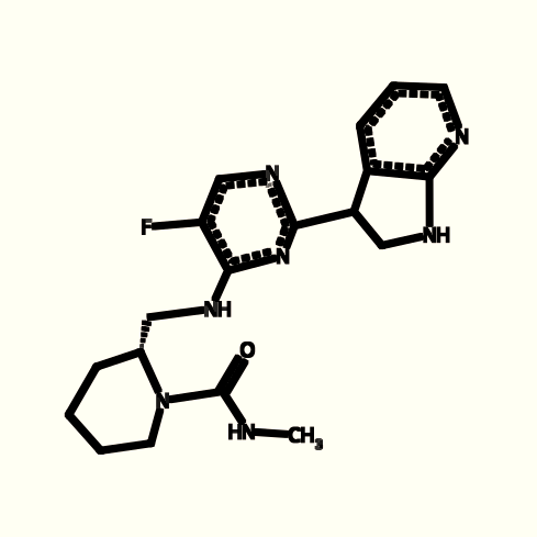 CNC(=O)N1CCCC[C@@H]1CNc1nc(C2CNc3ncccc32)ncc1F